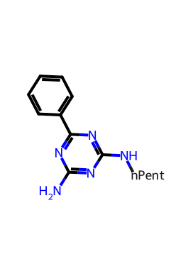 CCCCCNc1nc(N)nc(-c2ccccc2)n1